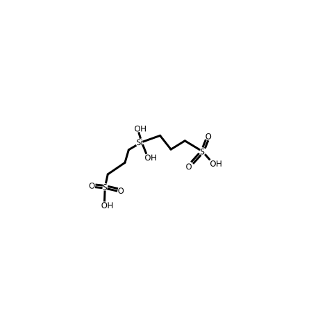 O=S(=O)(O)CCC[Si](O)(O)CCCS(=O)(=O)O